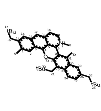 Cc1cc2c3c4c([n+](C)ccc4cc2cc1CC(C)(C)C)-c1c(c(CC(C)(C)C)c2ccc(CC(C)(C)C)cc2c1C)O3